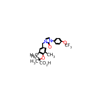 Cc1cc(Cn2ccn(-c3ccc(OC(F)(F)F)cc3)c2=O)cc(C)c1OC(C)(C)C(=O)O